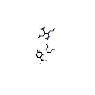 C=C/C=C(\C=C(/N)OCCC[C@@H](CCC)Oc1cc(C)ccc1C(=N)N)C(CC(=C)O)C1CC1